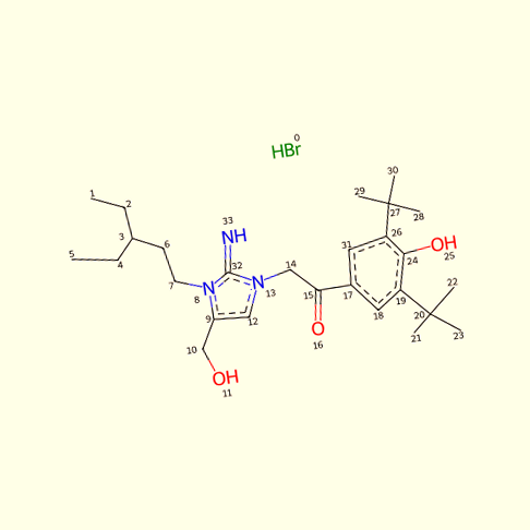 Br.CCC(CC)CCn1c(CO)cn(CC(=O)c2cc(C(C)(C)C)c(O)c(C(C)(C)C)c2)c1=N